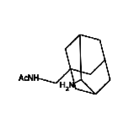 CC(=O)NCC12CC3CC(C1)C(N)C(C3)C2